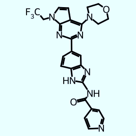 O=C(Nc1nc2cc(-c3nc(N4CCOCC4)c4ccn(CC(F)(F)F)c4n3)ccc2[nH]1)c1ccncc1